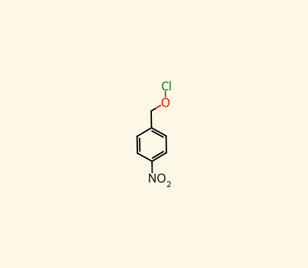 O=[N+]([O-])c1ccc(COCl)cc1